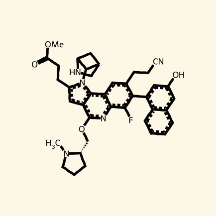 COC(=O)CCc1cc2c(OC[C@@H]3CCCN3C)nc3c(F)c(-c4cc(O)cc5ccccc45)c(CCC#N)cc3c2n1C1C2CNC1C2